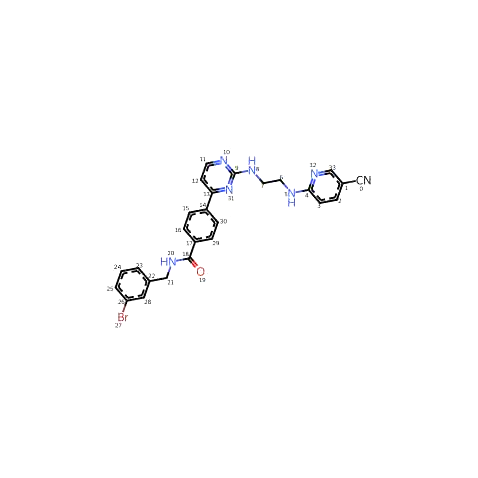 N#Cc1ccc(NCCNc2nccc(-c3ccc(C(=O)NCc4cccc(Br)c4)cc3)n2)nc1